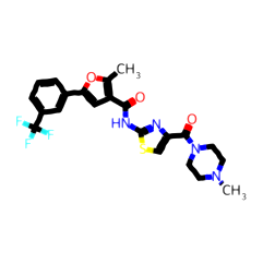 Cc1oc(-c2cccc(C(F)(F)F)c2)cc1C(=O)Nc1nc(C(=O)N2CCN(C)CC2)cs1